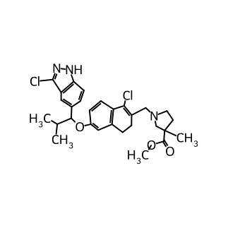 COC(=O)C1(C)CCN(CC2=C(Cl)c3ccc(OC(c4ccc5[nH]nc(Cl)c5c4)C(C)C)cc3CC2)C1